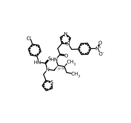 CC[C@H](C)[C@@H](CN(Cc1cccs1)C(=S)Nc1ccc(Cl)cc1)NC(=O)Cc1cncn1Cc1ccc([N+](=O)[O-])cc1